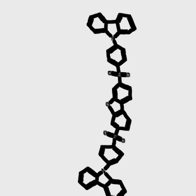 O=S(=O)(c1ccc(-n2c3ccccc3c3ccccc32)cc1)c1ccc2c(c1)oc1cc(S(=O)(=O)c3ccc(-n4c5ccccc5c5ccccc54)cc3)ccc12